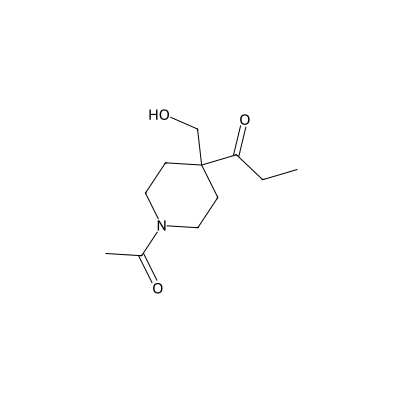 CCC(=O)C1(CO)CCN(C(C)=O)CC1